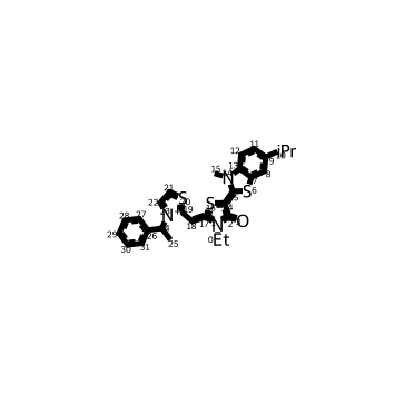 CCn1c(=O)/c(=C2\Sc3cc(C(C)C)ccc3N2C)s/c1=C\c1scc[n+]1C(C)c1ccccc1